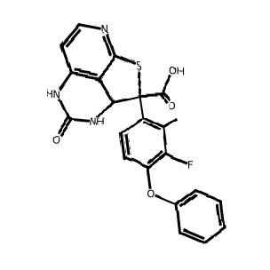 Cc1c(C2(C(=O)O)Sc3nccc4c3C2NC(=O)N4)ccc(Oc2ccccc2)c1F